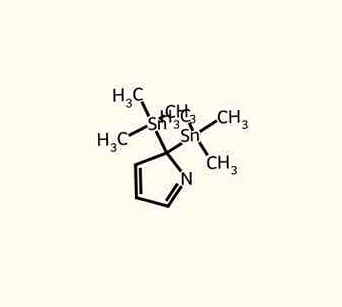 [CH3][Sn]([CH3])([CH3])[C]1([Sn]([CH3])([CH3])[CH3])C=CC=N1